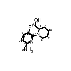 Nc1ncc(F)c(N2CCCCC2CO)n1